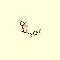 CC(=O)c1ccc(C(=O)CCC(=O)/C=C(C)\C=C\C2(O)C=CC(=O)CC2(C)C)cc1